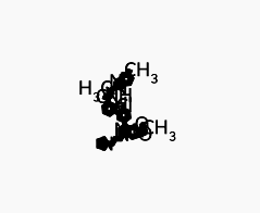 Cc1ccc2[nH]c([C@H](C)NC(=O)c3cccc(-c4cc(-c5nn(CCCN6CCCC6)c6c5CN(S(C)(=O)=O)CC6)ccc4Cl)c3)nc2c1